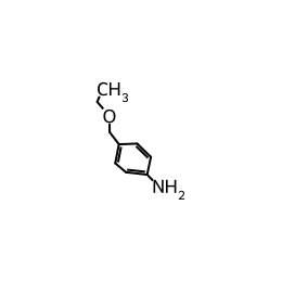 CCOCc1ccc(N)cc1